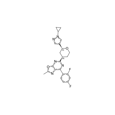 Cc1nc2c(-c3ccc(F)cc3F)nc([C@@H]3CCO[C@H](c4cnn(C5CC5)c4)C3)nc2o1